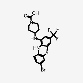 O=C(O)N1CCC(Nc2cc(C(F)(F)F)cc3c2Nc2ccc(Br)cc2S3)CC1